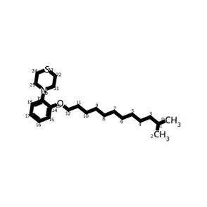 CC(C)CCCCCCCCCCOc1ccccc1N1CCSCC1